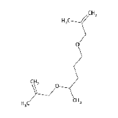 C=C(C)COCCCC(C)OCC(=C)C